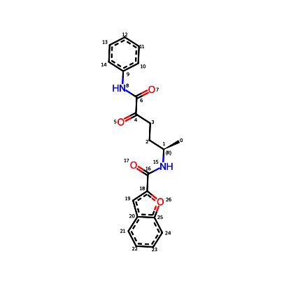 C[C@H](CCC(=O)C(=O)Nc1ccccc1)NC(=O)c1cc2ccccc2o1